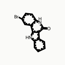 O=c1[nH]c2ccc(Br)cc2c2[nH]c3ccccc3c12